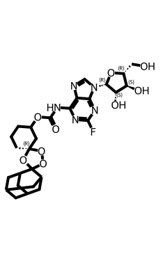 O=C(Nc1nc(F)nc2c1ncn2[C@@H]1O[C@H](CO)[C@@H](O)[C@@H]1O)OC1CCC[C@]2(C1)OOC1(O2)C2CC3CC(C2)CC1C3